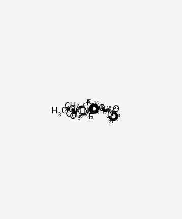 CC(C)(C)OC(=O)N1CCN(c2c(F)cc(OCCN3CCCCC3=O)cc2F)CC1